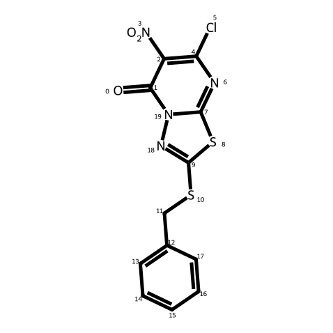 O=c1c([N+](=O)[O-])c(Cl)nc2sc(SCc3ccccc3)nn12